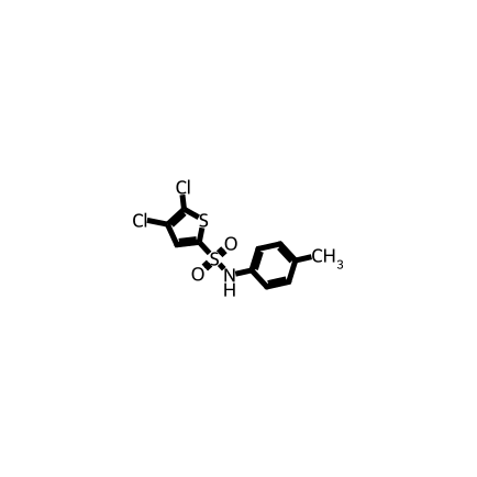 Cc1ccc(NS(=O)(=O)c2cc(Cl)c(Cl)s2)cc1